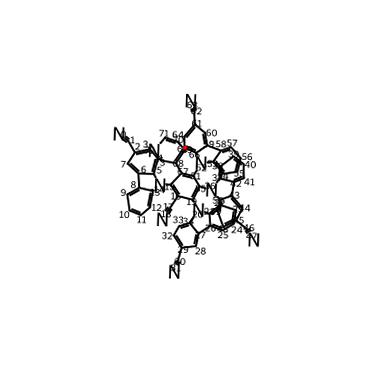 N#Cc1ccc2c(c1)c1ccccc1n2-c1c(C#N)c(-n2c3ccccc3c3cc(C#N)ccc32)c(-n2c3ccccc3c3cc(C#N)ccc32)c(-n2c3ccccc3c3cc(C#N)ccc32)c1-c1cccnc1